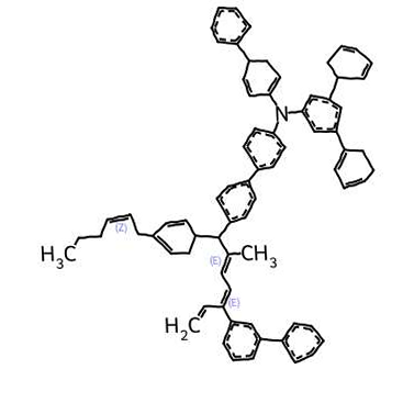 C=C/C(=C\C=C(/C)C(c1ccc(-c2ccc(N(C3=CCC(c4ccccc4)C=C3)c3cc(C4=CC=CCC4)cc(C4C=CC=CC4)c3)cc2)cc1)C1C=CC(C/C=C\CCC)=CC1)c1cccc(-c2ccccc2)c1